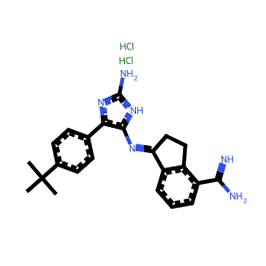 CC(C)(C)c1ccc(-c2nc(N)[nH]c2N=C2CCc3c(C(=N)N)cccc32)cc1.Cl.Cl